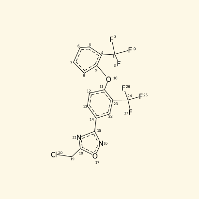 FC(F)(F)c1ccccc1Oc1ccc(-c2noc(CCl)n2)cc1C(F)(F)F